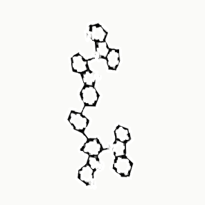 c1cc(-c2ccc3oc4c(-n5c6ccccc6c6cccnc65)cccc4c3c2)cc(-c2cc(-n3c4ccccc4c4ccccc43)c3oc4ncccc4c3c2)c1